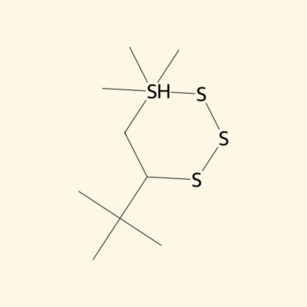 CC(C)(C)C1C[SH](C)(C)(C)SSS1